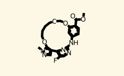 COC(=O)c1ccc2cc1OCCCCCCOc1c(cnn1C)-c1nc(ncc1F)N2